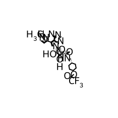 Cn1ccc(-c2cn([C@@H]3O[C@H](C(=O)NC[C@H]4CC[C@@H](OC(=O)C(F)(F)F)CC4)[C@@H](O)[C@H]3O)c3ncnc(N)c23)n1